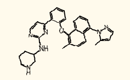 Cc1ccc2c(-n3nccc3C)cccc2c1Oc1ccccc1-c1ccnc(NC2CCCNC2)n1